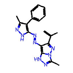 C=C(C)c1nn2c(C)n[nH]c2c1N=Nc1[nH]nc(C)c1-c1ccccc1